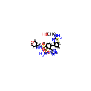 Nc1nc2c(-c3ccc(S(=O)(=O)NCC4(N)CCOCC4)c(S(N)(=O)=O)c3-c3nnn[nH]3)cccc2s1.O=CO